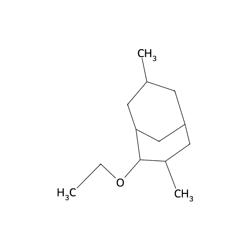 CCOC1C(C)CC2CC(C)CC1C2